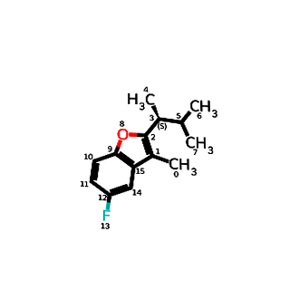 Cc1c([C@@H](C)C(C)C)oc2ccc(F)cc12